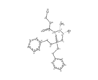 CC[C@H](OP(=O)(OCc1ccccc1)OCc1ccccc1)[C@@H](C)OC(=O)OCCl